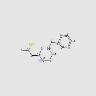 CC(S)C[C@H]1CN(Cc2ccccc2)CCN1